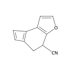 N#CC1CC2=C(C=C2)c2ccoc21